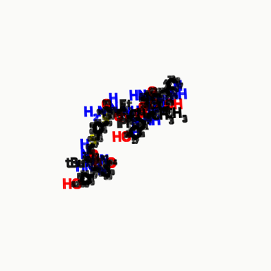 CC[C@H](NC(=O)[C@@](C)(NC(=O)[C@H](Cc1ccc(O)cc1)NC(=O)[C@H](C)NC(=O)C1(NC(=O)[C@H](Cc2c[nH]c3ncccc23)NC(=O)C[C@@H](C)O)CNC1)C(C)C)C(=O)N[C@H](CSCc1cccc(CSCCC(=O)N[C@H](C(=O)N[C@@H](Cc2ccc(O)cc2)C(=O)N2CCC[C@H]2C(N)=O)C(C)(C)C)c1)C(N)=O